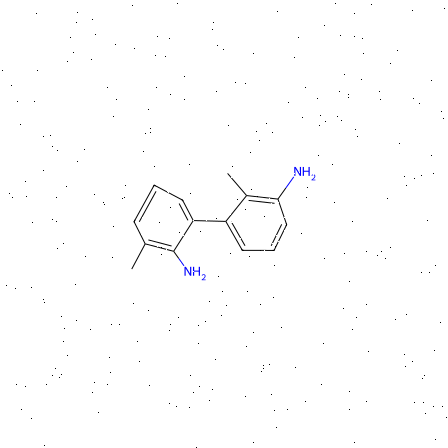 Cc1cccc(-c2cccc(N)c2C)c1N